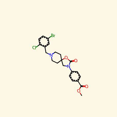 COC(=O)c1ccc(N2CC3(CCN(Cc4cc(Br)ccc4Cl)CC3)OC2=O)cc1